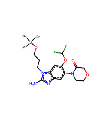 CC(C)[Si](OCCCn1c(N)nc2cc(N3CCOCC3=O)c(OC(F)F)cc21)(C(C)C)C(C)C